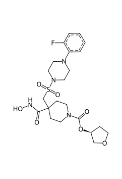 O=C(O[C@H]1CCOC1)N1CCC(CS(=O)(=O)N2CCN(c3ccccc3F)CC2)(C(=O)NO)CC1